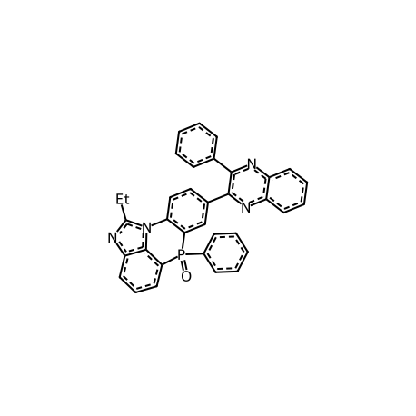 CCc1nc2cccc3c2n1-c1ccc(-c2nc4ccccc4nc2-c2ccccc2)cc1P3(=O)c1ccccc1